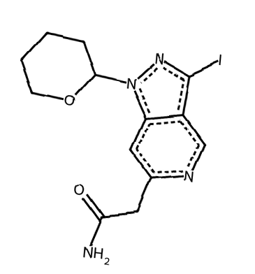 NC(=O)Cc1cc2c(cn1)c(I)nn2C1CCCCO1